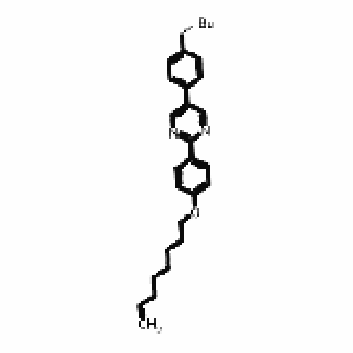 C=CCCCCCCOc1ccc(-c2ncc(-c3ccc(C[C@@H](C)CC)cc3)cn2)cc1